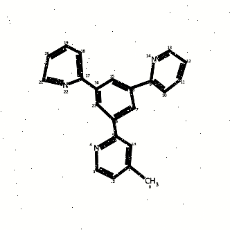 Cc1ccnc(-c2cc(-c3ccccn3)cc(-c3ccccn3)c2)c1